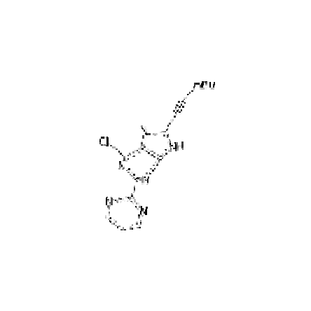 CCCCC#Cc1nc2c(Cl)nc(-c3ncccn3)nc2[nH]1